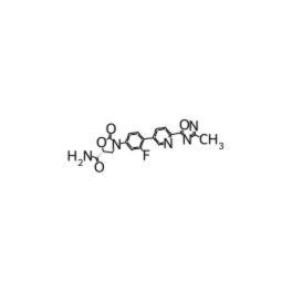 Cc1noc(-c2ccc(-c3ccc(N4C[C@H](C(N)=O)OC4=O)cc3F)cn2)n1